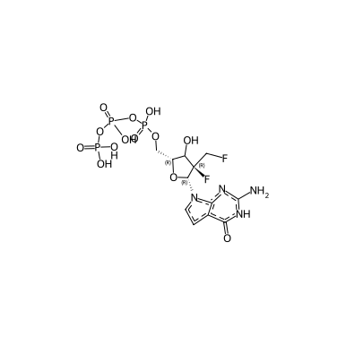 Nc1nc2c(ccn2[C@@H]2O[C@H](COP(=O)(O)OP(=O)(O)OP(=O)(O)O)C(O)[C@]2(F)CF)c(=O)[nH]1